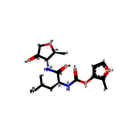 Cc1occc1OC(=O)N[C@@H](CC(C)C(C)C)C(=O)N[C@@H]1C(=O)CO[C@H]1C